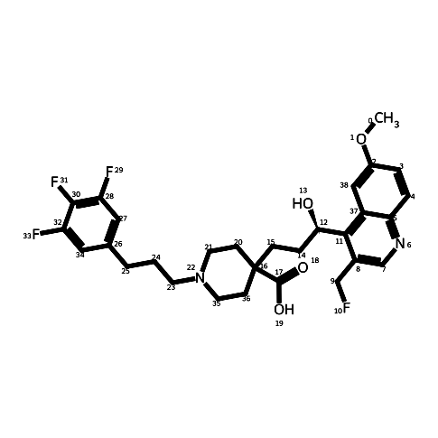 COc1ccc2ncc(CF)c([C@H](O)CCC3(C(=O)O)CCN(CCCc4cc(F)c(F)c(F)c4)CC3)c2c1